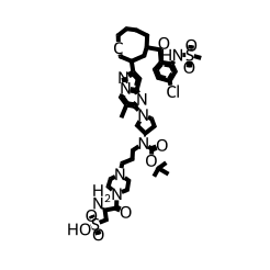 Cc1cn2nc(C3CCCCCCC(C(=O)c4ccc(Cl)cc4NS(C)(=O)=O)C3)cc2nc1N1CC[C@H](N(CCCN2CCN(C(=O)[C@@H](N)CS(=O)(=O)O)CC2)C(=O)OC(C)(C)C)C1